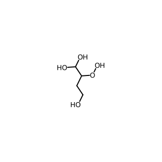 OCCC(OO)C(O)O